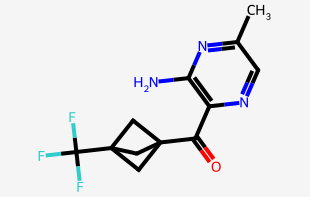 Cc1cnc(C(=O)C23CC(C(F)(F)F)(C2)C3)c(N)n1